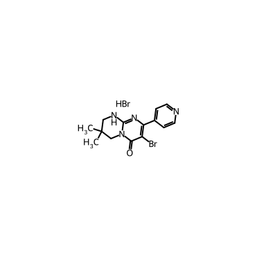 Br.CC1(C)CNc2nc(-c3ccncc3)c(Br)c(=O)n2C1